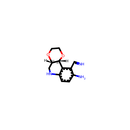 N=Cc1c(N)ccc2c1[C@H]1OCCO[C@H]1CN2